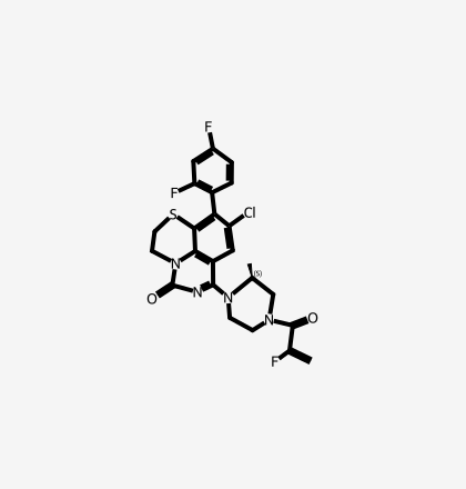 C=C(F)C(=O)N1CCN(c2nc(=O)n3c4c(c(-c5ccc(F)cc5F)c(Cl)cc24)SCC3)[C@@H](C)C1